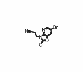 N#CCCn1c(=O)oc2cc(Br)cnc21